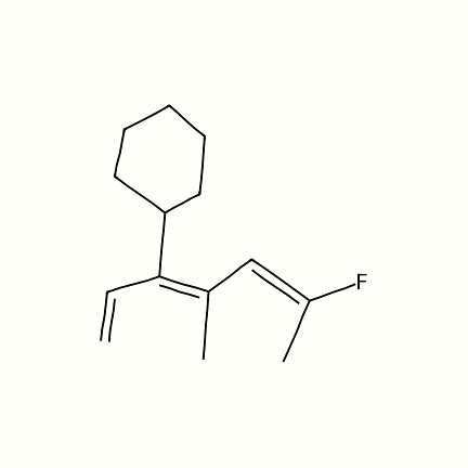 C=C/C(=C(C)/C=C(\C)F)C1CCCCC1